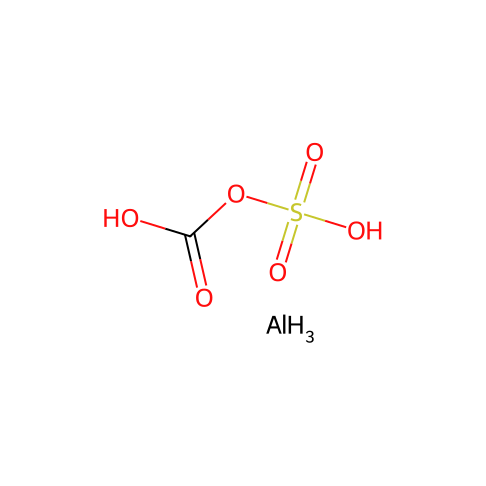 O=C(O)OS(=O)(=O)O.[AlH3]